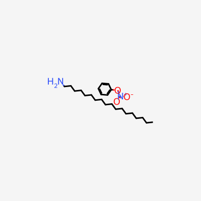 CCCCCCCCCCCCCCCCCCN.O=[N+]([O-])Oc1ccccc1